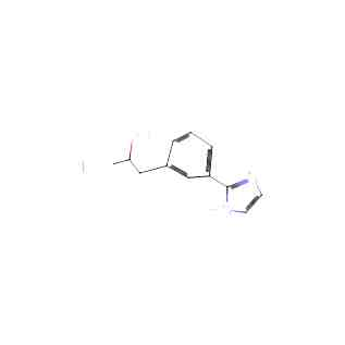 CC(O)Cc1cccc(-c2ncc[nH]2)c1